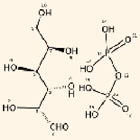 O=C[C@H](O)[C@@H](O)[C@@H](O)[C@H](O)CO.O=P(O)(O)OP(=O)(O)O